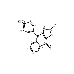 CC1Cc2c(n(-c3ccc(Cl)cc3)c3ccccc3c2=O)O1